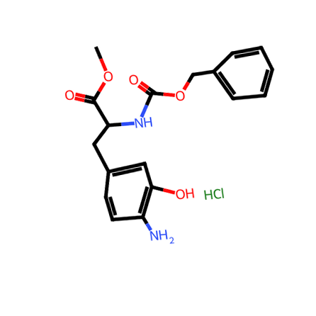 COC(=O)C(Cc1ccc(N)c(O)c1)NC(=O)OCc1ccccc1.Cl